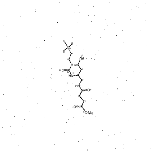 COC(=O)CCC(=O)NCC(CCO)NC(=O)OCCS(C)(C)C